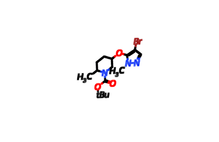 CC1CCC(Oc2c(Br)cnn2C)CN1C(=O)OC(C)(C)C